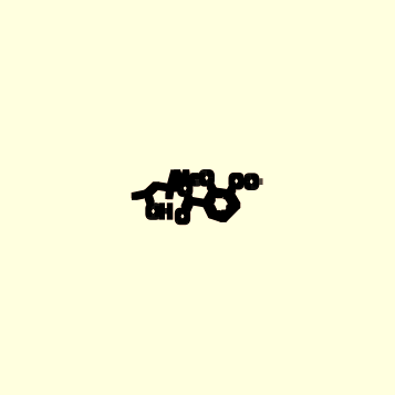 COc1c(O[O])cccc1C(=O)OC(C)(C)CC(C)O